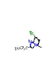 CCOC(=O)c1cn2c(C)ccc(Br)c2n1